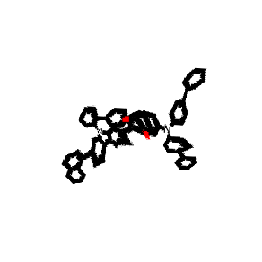 c1ccc(-c2ccc(N(c3ccc(-c4ccccc4)cc3)c3ccc(-c4ccc(-c5ccccc5-n5c6cc(-c7ccccc7)ccc6c6ccc(-c7cccc8ccccc78)cc65)cc4)cc3)cc2)cc1